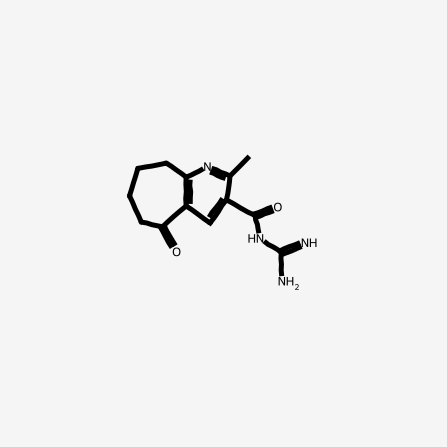 Cc1nc2c(cc1C(=O)NC(=N)N)C(=O)CCCC2